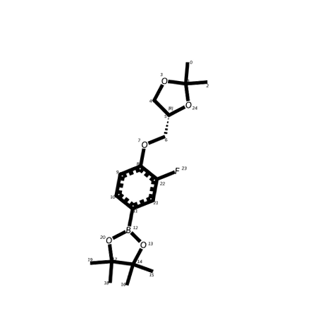 CC1(C)OC[C@@H](COc2ccc(B3OC(C)(C)C(C)(C)O3)cc2F)O1